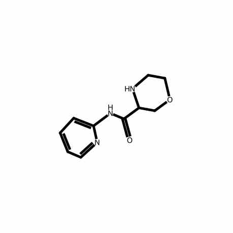 O=C(Nc1ccccn1)C1COCCN1